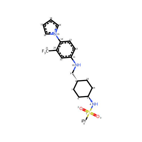 CC(C)S(=O)(=O)N[C@H]1CC[C@H](CNc2ccc(-n3cccc3)c(C(F)(F)F)c2)CC1